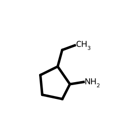 CCC1CCCC1N